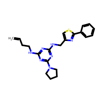 C=CCCNc1nc(NCc2csc(-c3ccccc3)n2)nc(N2CCCC2)n1